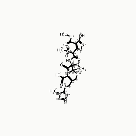 COC(=O)c1c(O)noc1C(C(=O)N[C@]1(OC)C(=O)N2C(C(=O)O)=C(CSc3nnnn3C)CS[C@H]21)S(C)(=O)=O